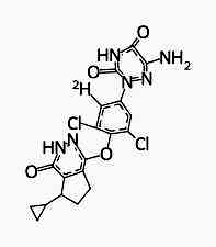 [2H]c1c(-n2nc(N)c(=O)[nH]c2=O)cc(Cl)c(Oc2n[nH]c(=O)c3c2CCC3C2CC2)c1Cl